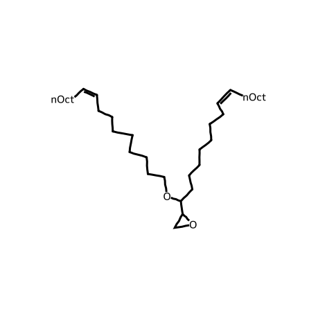 CCCCCCCC/C=C\CCCCCCCCOC(CCCCCCC/C=C\CCCCCCCC)C1CO1